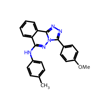 COc1ccc(-c2nnc3c4ccccc4c(Nc4ccc(C)cc4)nn23)cc1